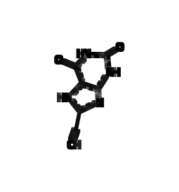 C#Cc1nc2[nH]c(=O)[nH]c(=O)c2[nH]1